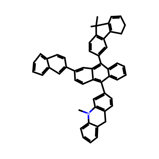 CN1c2ccccc2Cc2ccc(-c3c4ccccc4c(-c4ccc5c(c4)C4=C(C=CCC4)C5(C)C)c4cc(-c5ccc6ccccc6c5)ccc34)cc21